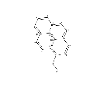 C[CH]c1ccc2ccc3cccc4ccc1c2c34